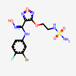 NS(=O)(=O)NCCOc1nonc1/C(=N\O)Nc1ccc(F)c(Br)c1